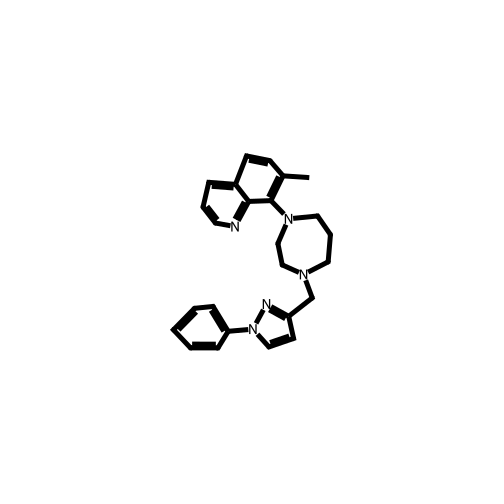 Cc1ccc2cccnc2c1N1CCCN(Cc2ccn(-c3ccccc3)n2)CC1